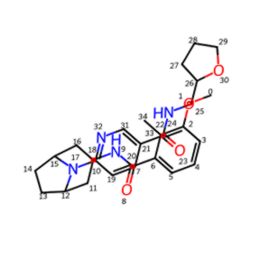 COc1cccc(C(=O)NC2CC3CCC(C2)N3c2ccc(C(=O)NCC3CCCO3)cn2)c1C